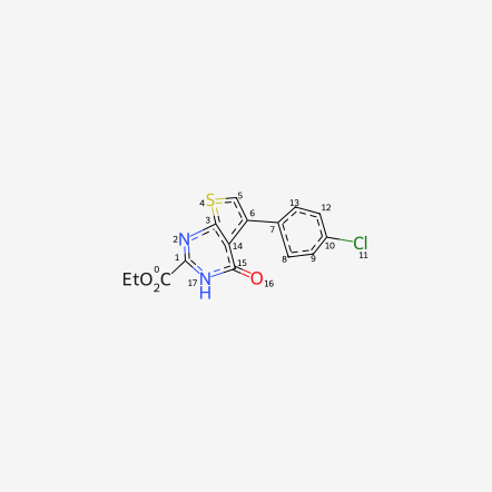 CCOC(=O)c1nc2scc(-c3ccc(Cl)cc3)c2c(=O)[nH]1